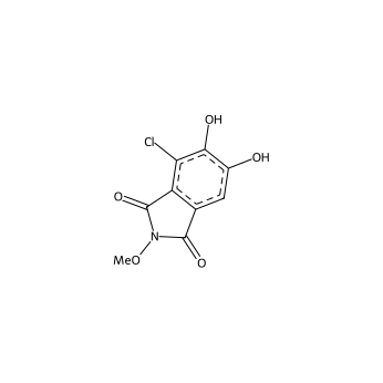 CON1C(=O)c2cc(O)c(O)c(Cl)c2C1=O